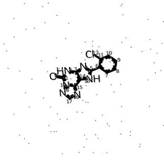 O=c1[nH]c2nc(-c3ccccc3Cl)[nH]c2c2ncnn12